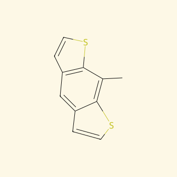 Cc1c2sccc2cc2ccsc12